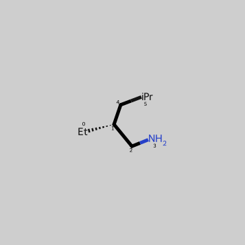 CC[C@@H](CN)CC(C)C